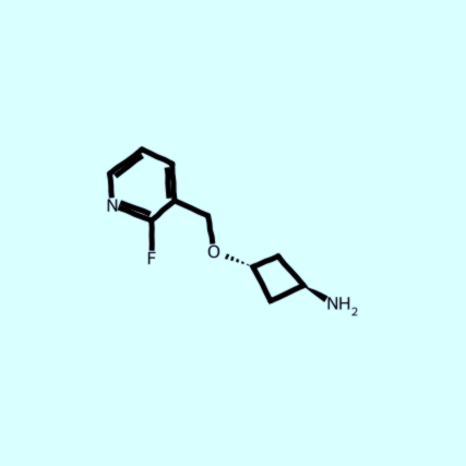 N[C@H]1C[C@H](OCc2cccnc2F)C1